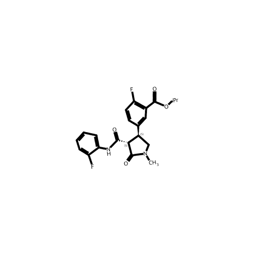 CC(C)OC(=O)c1cc([C@H]2CN(C)C(=O)[C@@H]2C(=O)Nc2ccccc2F)ccc1F